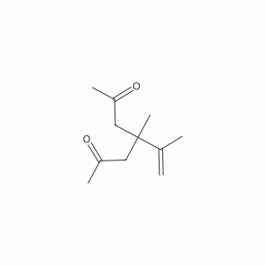 C=C(C)C(C)(CC(C)=O)CC(C)=O